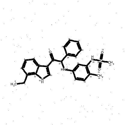 CCc1cccc2c(C(=O)C(Nc3ccc(C)c(NS(C)(=O)=O)c3)c3ccccc3)c[nH]c12